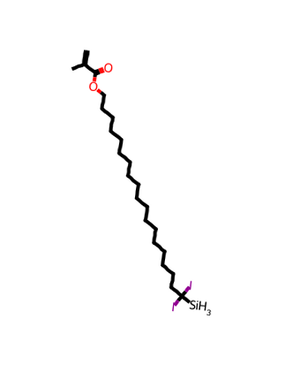 C=C(C)C(=O)OCCCCCCCCCCCCCCCCCCC([SiH3])(I)I